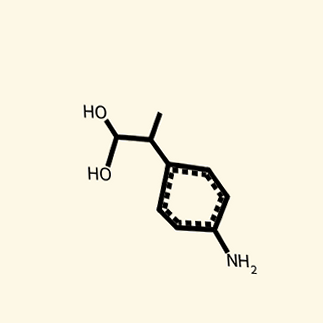 CC(c1ccc(N)cc1)C(O)O